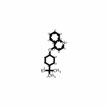 CCC(C)(C)C1CCC(Oc2ccnc3ccccc23)CC1